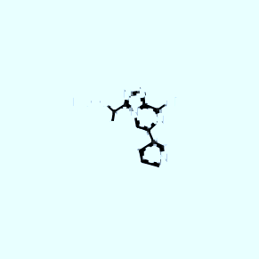 CCCc1nc(-c2cccnc2)cn2c(C(C)C(=O)O)nnc12